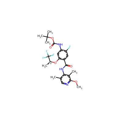 COc1ncc(C)c(NC(=O)c2cc(F)c(NC(=O)OC(C)(C)C)cc2O[C@@H](C)C(F)(F)F)c1C